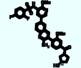 COc1cc(C(=O)N2CC[C@H](O)C2)ccc1-c1cc2cc(-c3cnc(OC)c(NS(=O)(=O)c4ccc(F)cc4F)c3)ccc2nc1N